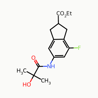 CCOC(=O)C1Cc2cc(NC(=O)C(C)(C)O)cc(F)c2C1